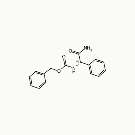 NC(=O)[C@@H](NC(=O)OCc1ccccc1)c1ccccc1